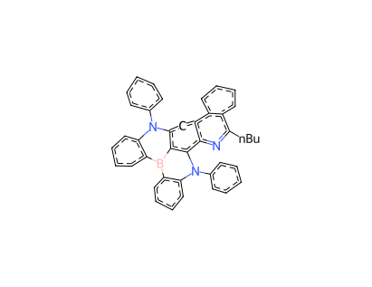 CCCCc1nc2c3c4c(cc2c2ccccc12)N(c1ccccc1)c1ccccc1B4c1ccccc1N3c1ccccc1